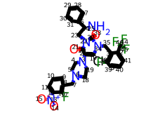 Cc1c(N2CCN(Cc3cccc([N+](=O)[O-])c3F)CC2)c(=O)n(C[C@@H](N)c2ccccc2)c(=O)n1Cc1c(F)cccc1C(F)(F)F